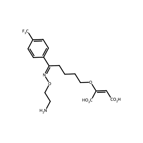 NCCO/N=C(\CCCCO/C(=C/C(=O)O)C(=O)O)c1ccc(C(F)(F)F)cc1